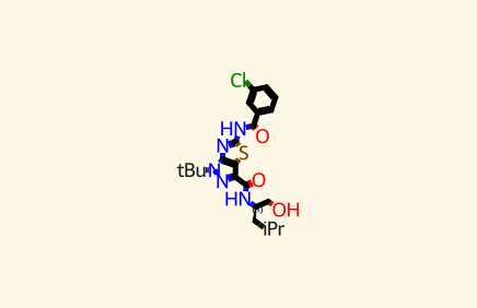 CC(C)C[C@H](CO)NC(=O)c1nn(C(C)(C)C)c2nc(NC(=O)c3cccc(Cl)c3)sc12